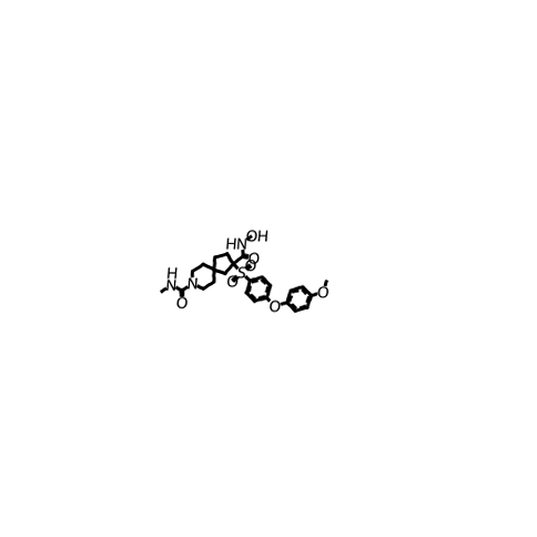 CNC(=O)N1CCC2(CC1)CCC(C(=O)NO)(S(=O)(=O)c1ccc(Oc3ccc(OC)cc3)cc1)C2